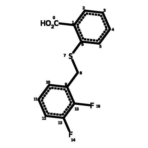 O=C(O)c1ccccc1SCc1cccc(F)c1F